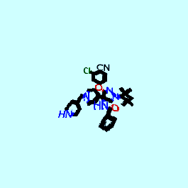 CC1(C)CC(C)(C)C1N1CC(NC(=O)c2ccccc2)(C2CCN(CC3CCNCC3)CC2)C(Oc2ccc(C#N)c(Cl)c2)=N1